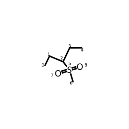 CCC(CC)S(C)(=O)=O